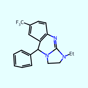 CCN1CCN2C1=Nc1ccc(C(F)(F)F)cc1C2c1ccccc1